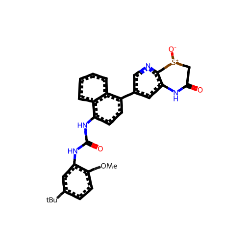 COc1ccc(C(C)(C)C)cc1NC(=O)Nc1ccc(-c2cnc3c(c2)NC(=O)C[S+]3[O-])c2ccccc12